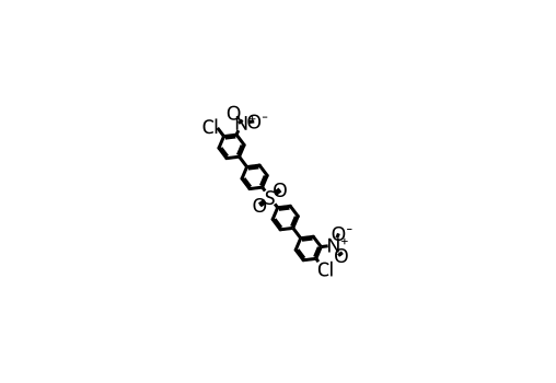 O=[N+]([O-])c1cc(-c2ccc(S(=O)(=O)c3ccc(-c4ccc(Cl)c([N+](=O)[O-])c4)cc3)cc2)ccc1Cl